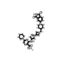 NC(=O)c1ncc(N2CCCCC2)nc1Nc1cnn(C2CN(CC3CCN(c4ccc5c(c4)C(=O)NC5=O)CC3)C2)c1